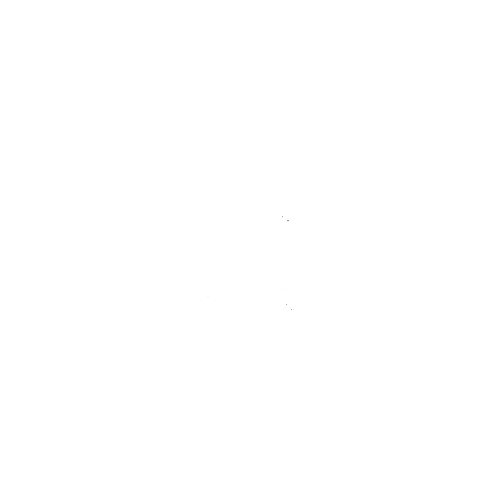 CO/N=C/C(CCOS(C)(=O)=O)N(Cc1ccccc1)C(=O)c1ccc(C)cc1